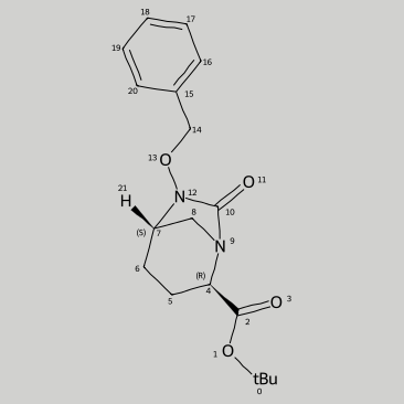 CC(C)(C)OC(=O)[C@H]1CC[C@H]2CN1C(=O)N2OCc1ccccc1